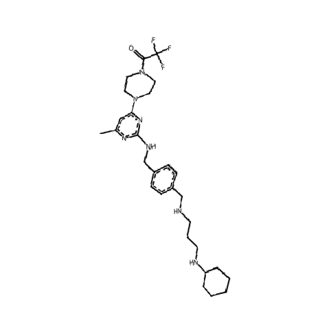 Cc1cc(N2CCN(C(=O)C(F)(F)F)CC2)nc(NCc2ccc(CNCCCNC3CCCCC3)cc2)n1